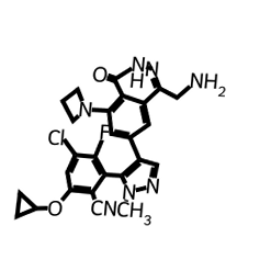 Cn1ncc(-c2cc(N3CCC3)c3c(=O)[nH]nc(CN)c3c2)c1-c1c(F)c(Cl)cc(OC2CC2)c1C#N